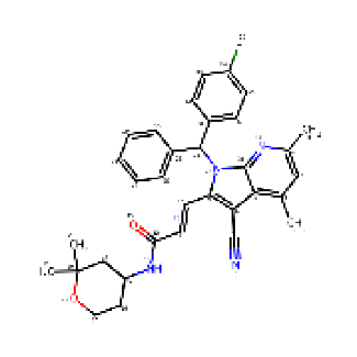 Cc1cc(C)c2c(C#N)c(/C=C/C(=O)NC3CCOC(C)(C)C3)n(C(c3ccccc3)c3ccc(F)cc3)c2n1